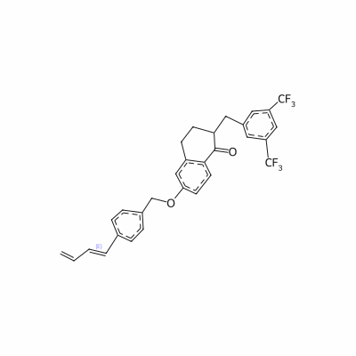 C=C/C=C/c1ccc(COc2ccc3c(c2)CCC(Cc2cc(C(F)(F)F)cc(C(F)(F)F)c2)C3=O)cc1